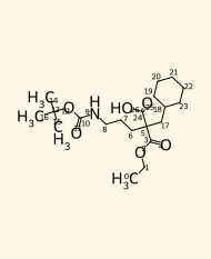 CCOC(=O)C(CCCNC(=O)OC(C)(C)C)(CC1CCCCC1)C(=O)O